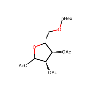 CCCCCCOC[C@H]1OC(OC(C)=O)[C@H](OC(C)=O)[C@@H]1OC(C)=O